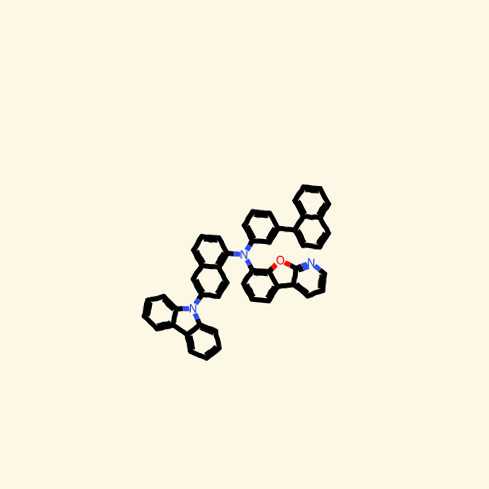 c1cc(-c2cccc3ccccc23)cc(N(c2cccc3cc(-n4c5ccccc5c5ccccc54)ccc23)c2cccc3c2oc2ncccc23)c1